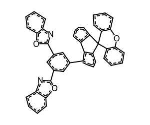 c1ccc2c(c1)Oc1ccccc1C21c2ccccc2-c2c(-c3cc(-c4nc5ccccc5o4)cc(-c4nc5ccccc5o4)c3)cccc21